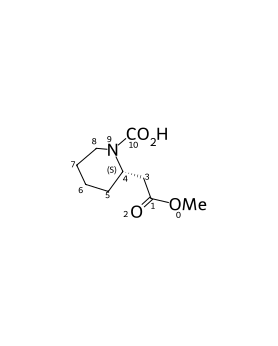 COC(=O)C[C@@H]1CCCCN1C(=O)O